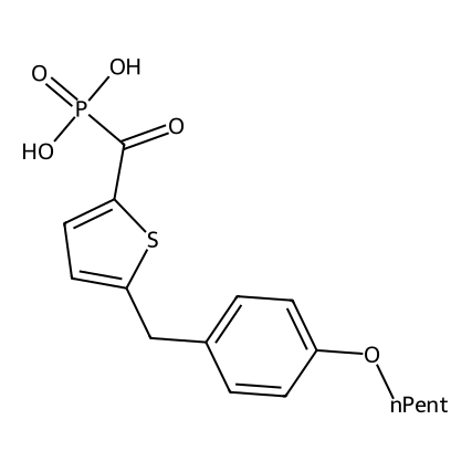 CCCCCOc1ccc(Cc2ccc(C(=O)P(=O)(O)O)s2)cc1